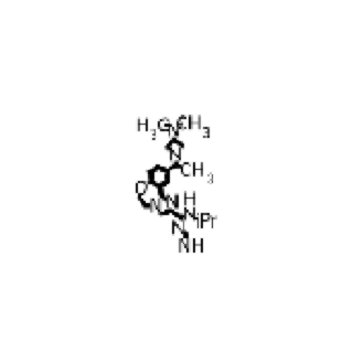 CC(C)N/C(=N\C=N)c1cn2c(n1)-c1cc(C(C)N3CC(N(C)C)C3)ccc1OCC2